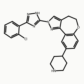 Clc1ccccc1-c1n[nH]c(-n2cc3c(n2)-c2cc(C4CCNCC4)ccc2OCC3)n1